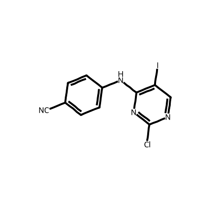 N#Cc1ccc(Nc2nc(Cl)ncc2I)cc1